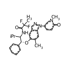 Cc1cc2c(cnn2-c2ccc(=O)n(C)c2)cc1O[C@H](c1ccccc1)C(NC(=O)C(C)(F)F)C(C)C